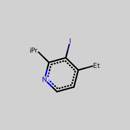 CCc1ccnc(C(C)C)c1I